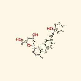 Cc1ccc([C@H]2C[C@@H](O)C[C@@H](CO)O2)cc1Cc1ccc(C#CC2(O)CCCCC2)cc1